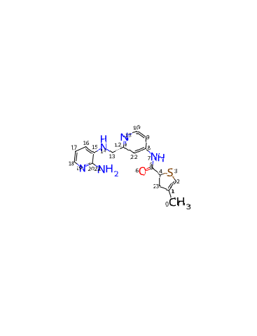 CC1=CSC(C(=O)Nc2ccnc(CNc3cccnc3N)c2)C1